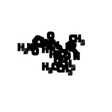 CC1CC(C#N)N(C(=O)C(CN2C[C@@H]3CC2C(=O)N3c2cccc(C(N)=O)c2)NC(=O)OC(C)(C)C)C1